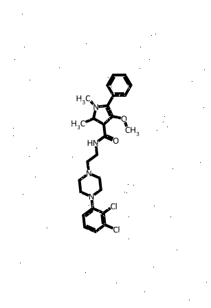 COC1=C(c2ccccc2)N(C)C(C)C1C(=O)NCCN1CCN(c2cccc(Cl)c2Cl)CC1